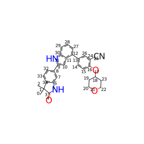 CC1(C)C(=O)Nc2cc(-c3cc4c(-c5ccc(OC6CCOCC6)c(C#N)c5)cccc4[nH]3)ccc21